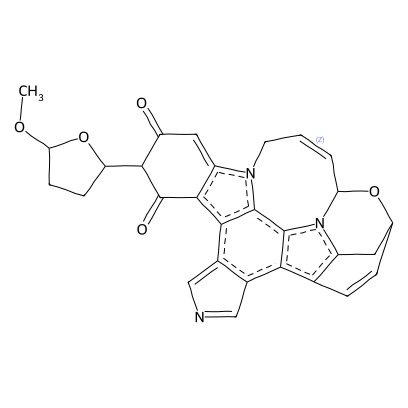 COC1CCC(C2C(=O)C=c3c(c4c5c(c6c7c8n9c6c4n3C/C=C\C9OC(C=C7)C8)C=NC=5)C2=O)O1